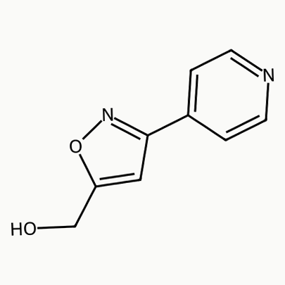 OCc1cc(-c2ccncc2)no1